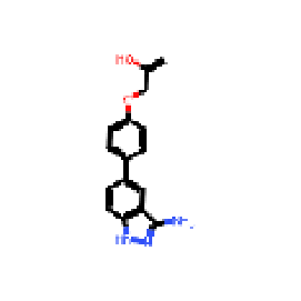 C=C(O)COc1ccc(-c2ccc3[nH]nc(N)c3c2)cc1